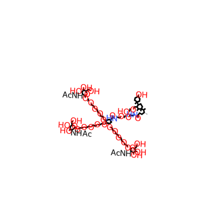 CC(=O)NC1C(OCCOCCOCCOCCOc2cc(C(=O)NCCOCCOCCNC(=O)CC[C@@H](C)C(C)C3(C)CCC(C4(C)CCC(O)CC4)C(COCCO)C3C)cc(OCCOCCOCCOCCOC3OC(CO)C(O)C(O)C3NC(C)=O)c2OCCOCCOCCOCCOC2OC(CO)C(O)C(O)C2NC(C)=O)OC(CO)C(O)C1O